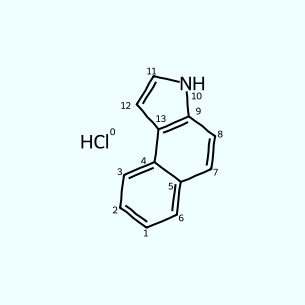 Cl.c1ccc2c(c1)ccc1[nH]ccc12